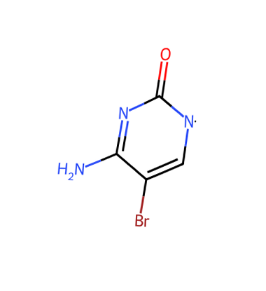 NC1=NC(=O)[N]C=C1Br